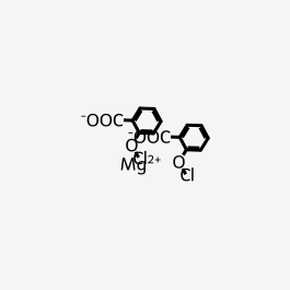 O=C([O-])c1ccccc1OCl.O=C([O-])c1ccccc1OCl.[Mg+2]